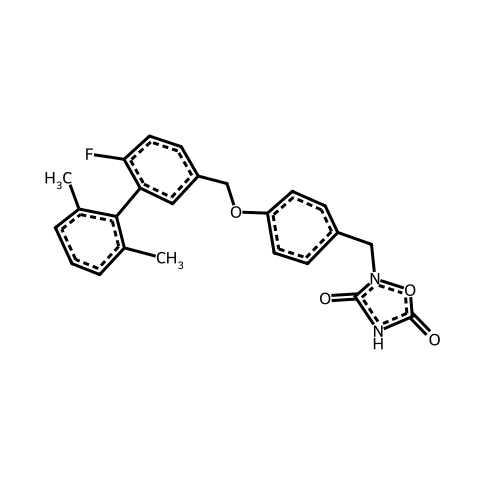 Cc1cccc(C)c1-c1cc(COc2ccc(Cn3oc(=O)[nH]c3=O)cc2)ccc1F